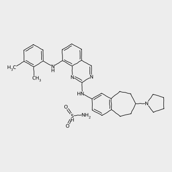 Cc1cccc(Nc2cccc3cnc(Nc4ccc5c(c4)CCC(N4CCCC4)CC5)nc23)c1C.N[SH](=O)=O